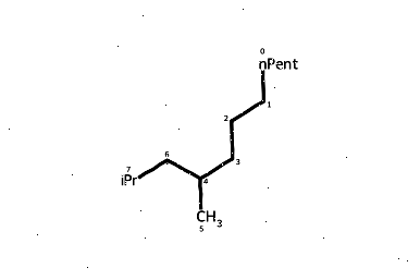 CCCCCCCCC(C)[CH]C(C)C